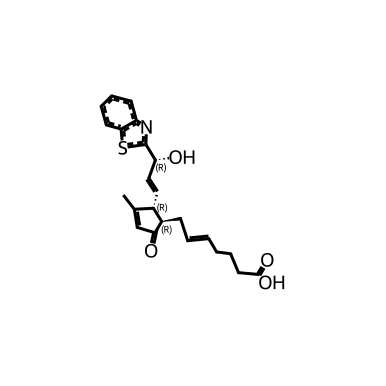 CC1=CC(=O)[C@H](CC=CCCCC(=O)O)[C@H]1C=C[C@@H](O)c1nc2ccccc2s1